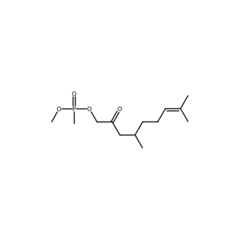 COP(C)(=O)OCC(=O)CC(C)CCC=C(C)C